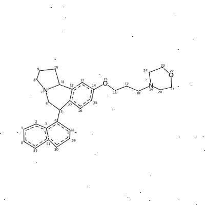 c1ccc2c(C3CN4CCCC4c4cc(OCCCN5CCOCC5)ccc43)cccc2c1